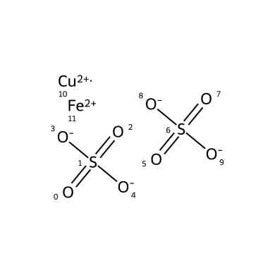 O=S(=O)([O-])[O-].O=S(=O)([O-])[O-].[Cu+2].[Fe+2]